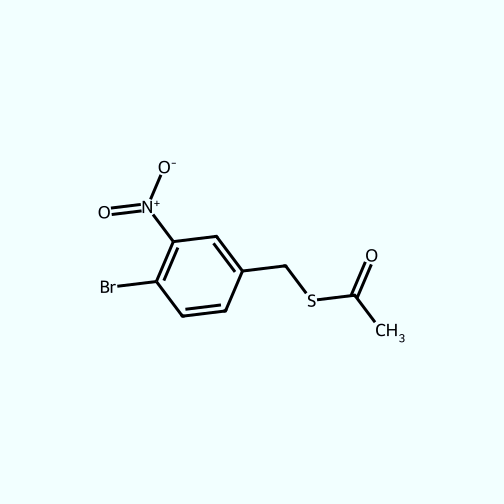 CC(=O)SCc1ccc(Br)c([N+](=O)[O-])c1